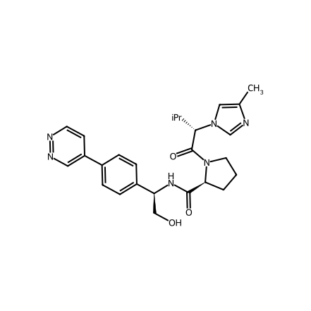 Cc1cn([C@H](C(=O)N2CCC[C@H]2C(=O)N[C@@H](CO)c2ccc(-c3ccnnc3)cc2)C(C)C)cn1